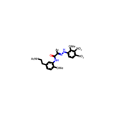 COc1ccc(CCNC(C)=O)cc1NC(=O)C(=NNc1ccc([N+](=O)[O-])c([N+](=O)[O-])c1OC)C(C)=O